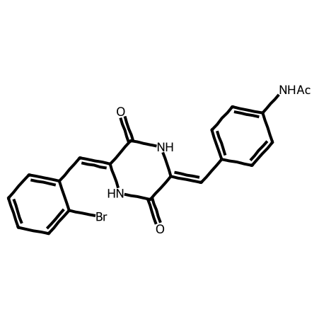 CC(=O)Nc1ccc(/C=c2\[nH]c(=O)/c(=C/c3ccccc3Br)[nH]c2=O)cc1